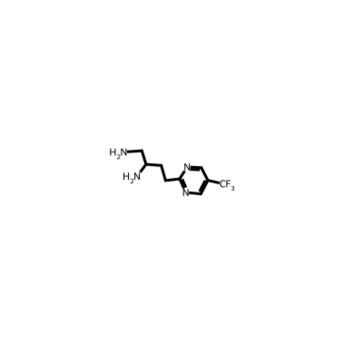 NCC(N)CCc1ncc(C(F)(F)F)cn1